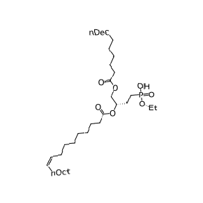 CCCCCCCC/C=C\CCCCCCCC(=O)O[C@@H](CCP(=O)(O)OCC)COC(=O)CCCCCCCCCCCCCCC